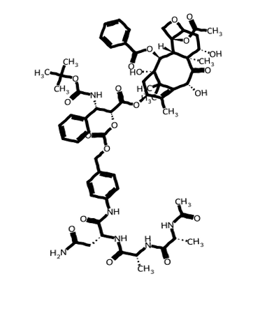 CC(=O)N[C@H](C)C(=O)N[C@H](C)C(=O)N[C@H](CC(N)=O)C(=O)Nc1ccc(COC(=O)O[C@@H](C(=O)O[C@H]2C[C@@]3(O)[C@@H](OC(=O)c4ccccc4)[C@H]4[C@](C)(C(=O)[C@H](O)C(=C2C)C3(C)C)[C@@H](O)CC2OC[C@]24OC(C)=O)[C@@H](NC(=O)OC(C)(C)C)c2ccccc2)cc1